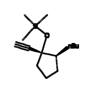 C#C[C@]1(O[Si](C)(C)C)CCC[C@@H]1CCCC